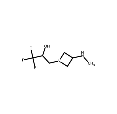 CNC1CN(CC(O)C(F)(F)F)C1